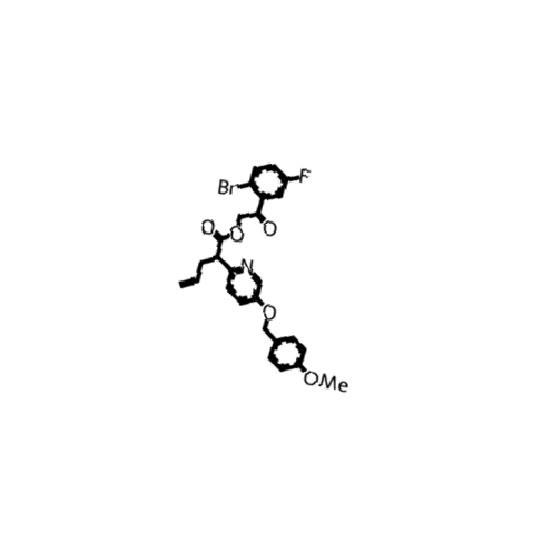 C=CCC(C(=O)OCC(=O)c1cc(F)ccc1Br)c1ccc(OCc2ccc(OC)cc2)cn1